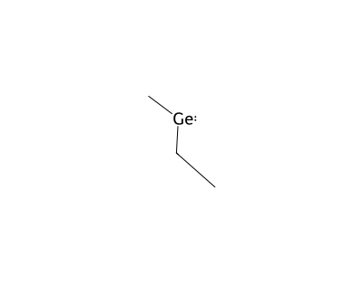 C[CH2][Ge][CH3]